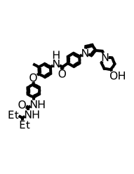 CCC(CC)NC(=O)Nc1ccc(Oc2ccc(NC(=O)c3ccc(-n4ccc(CN5CCC(O)CC5)c4)cc3)cc2C)cc1